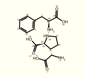 NCC(=O)O.N[C@@H](Cc1ccccc1)C(=O)O.O=C(O)[C@@H]1CCCN1